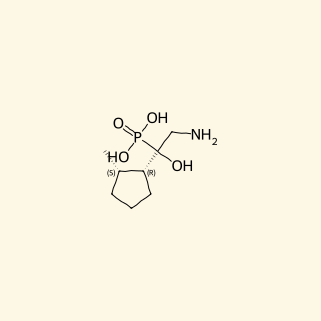 C[C@H]1CCC[C@H]1C(O)(CN)P(=O)(O)O